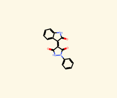 O=C1NN(c2ccccc2)C(=O)C1=C1C(=O)Nc2ccccc21